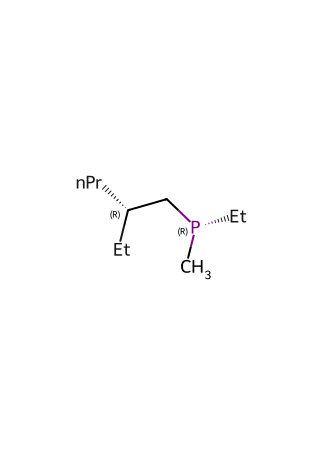 CCC[C@@H](CC)C[P@@](C)CC